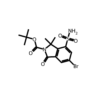 CC(C)(C)OC(=O)N1C(=O)c2cc(Br)cc(S(N)(=O)=O)c2C1(C)C